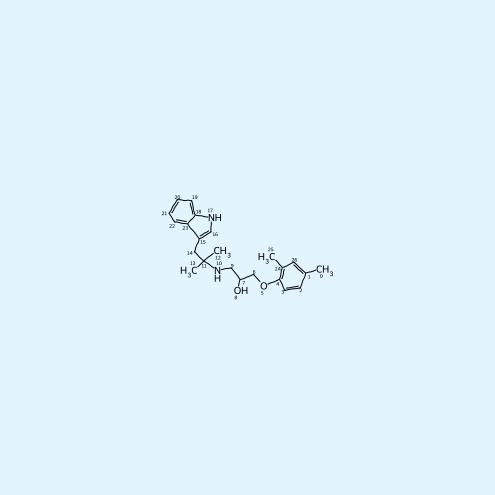 Cc1ccc(OCC(O)CNC(C)(C)Cc2c[nH]c3ccccc23)c(C)c1